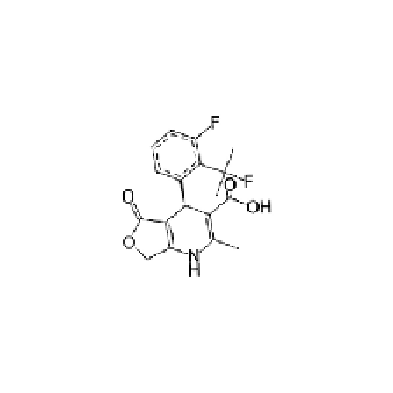 CC1=C(C(=O)O)[C@H](c2cccc(F)c2C(C)(C)F)C2=C(COC2=O)N1